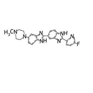 CN1CCN(c2ccc3[nH]c(-c4ccc5[nH]c(-c6ccc(F)cn6)nc5c4)nc3c2)CC1